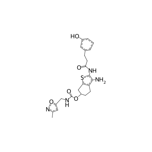 Cc1cc(CNC(=O)OC2CCc3c(sc(NC(=O)CCc4cccc(O)c4)c3N)C2)on1